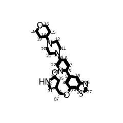 C[C@@H](Oc1cc(-c2ccc(N3CCN(C4CCOCC4)CC3)cn2)cc2ncsc12)[C@H]1CNC(=O)C1